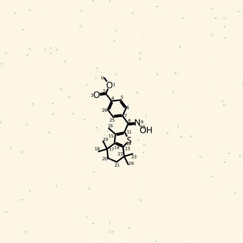 COC(=O)c1ccc(/C(=N/O)c2sc3c(c2C)C(C)(C)CCC3(C)C)cc1